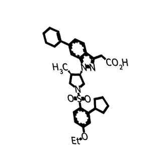 CCOc1ccc(S(=O)(=O)N2C[C@@H](C)[C@@H](n3nc(CC(=O)O)c4ccc(C5=CCCCC5)cc43)C2)c(C2CCCC2)c1